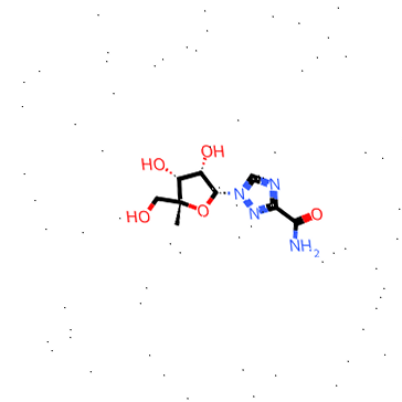 C[C@]1(CO)O[C@@H](n2cnc(C(N)=O)n2)[C@@H](O)[C@H]1O